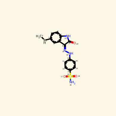 CBc1ccc2c(c1)/C(=N/Nc1ccc(S(N)(=O)=O)cc1)C(=O)N2